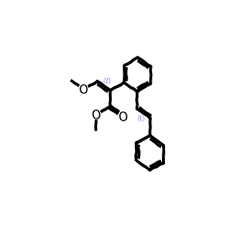 CO/C=C(\C(=O)OC)c1ccccc1/C=C/c1ccccc1